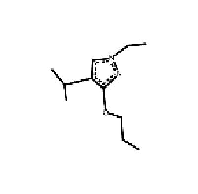 CCCOc1nn(CC)cc1C(C)C